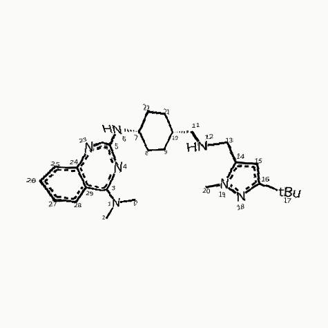 CN(C)c1nc(N[C@H]2CC[C@@H](CNCc3cc(C(C)(C)C)nn3C)CC2)nc2ccccc12